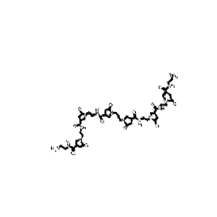 NCCNC(=O)C1CC(=O)N(CCNC(=O)C2CC(=O)N(CCNC(=O)C3CC(=O)N(CCN4CC(C(=O)NCCN5CC(C(=O)NCCN6CC(C(=O)NCCN)CC6=O)CC5=O)CC4=O)C3)C2)C1